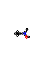 c1ccc(Oc2ccc(N(c3ccc(-c4ccccc4)cc3)c3ccc(-c4ccc([Si](c5ccccc5)(c5ccccc5)c5ccccc5)cc4)cc3)cc2)cc1